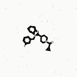 O=C(C1CC1)N1CCC(c2nc3ccccc3n2Cc2cccc(F)c2)CC1